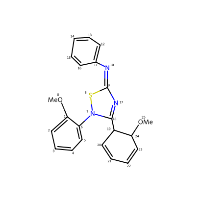 COc1ccccc1-n1s/c(=N\c2ccccc2)nc1C1C=CC=CC1OC